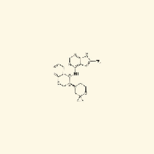 FC(F)(F)c1cc2c(N[C@H]3c4ccccc4OC[C@@H]3N3CCOC4(CC4)C3)ncnc2[nH]1